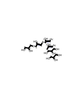 CC(=O)/C=C(/C)O.CC(=O)/C=C(/C)O.CC(=O)/C=C(/C)O.OCC(O)CO.OCC(O)CO.OCC(O)CO